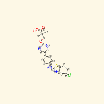 CC(C)(COc1ncc(-c2ccc(Nc3nc4cc(Cl)ccc4s3)cc2)cn1)C(=O)O